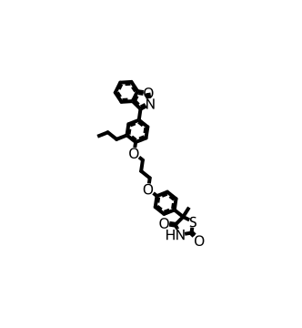 CCCc1cc(-c2noc3ccccc23)ccc1OCCCOc1ccc(C2(C)SC(=O)NC2=O)cc1